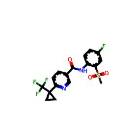 CS(=O)(=O)c1cc(F)ccc1NC(=O)c1ccc(C2(C(F)(F)F)CC2)nc1